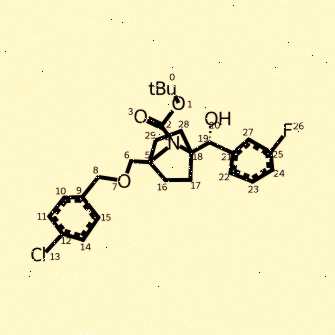 CC(C)(C)OC(=O)N1C2(COCc3ccc(Cl)cc3)CCC1([C@H](O)c1cccc(F)c1)CC2